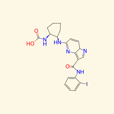 O=C(O)N[C@H]1CCCC[C@H]1NC1=NC2=C(C(=O)Nc3ccccc3I)C=NC2C=C1